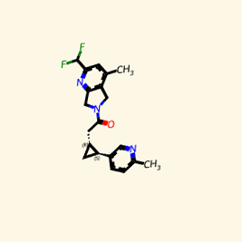 Cc1ccc([C@H]2C[C@@H]2CC(=O)N2Cc3nc(C(F)F)cc(C)c3C2)cn1